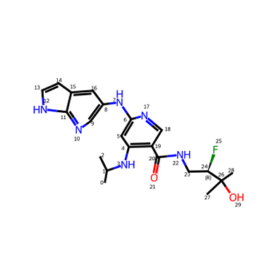 CC(C)Nc1cc(Nc2cnc3[nH]ccc3c2)ncc1C(=O)NC[C@@H](F)C(C)(C)O